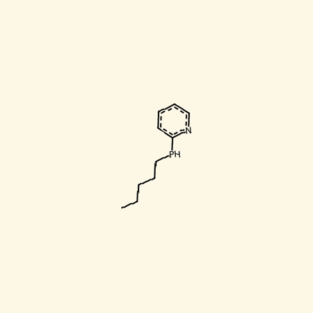 CCCCCPc1ccccn1